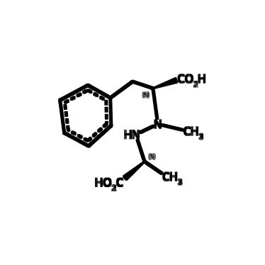 C[C@H](NN(C)[C@@H](Cc1ccccc1)C(=O)O)C(=O)O